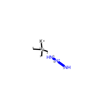 C[Si](C)(C)[K].N=[N+]=N